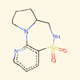 O=S1(=O)NCC2CCCN2c2ncccc21